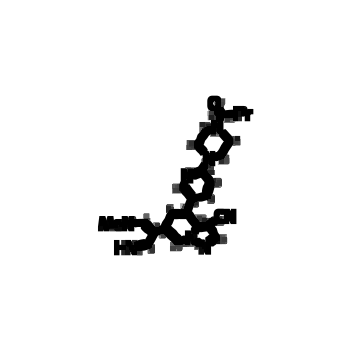 CN/C=C(\C=N)c1cc(-c2ccc(N3CCN(C(=O)C(C)C)CC3)nc2)c2c(C#N)cnn2c1